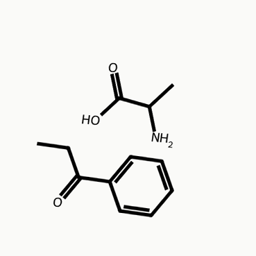 CC(N)C(=O)O.CCC(=O)c1ccccc1